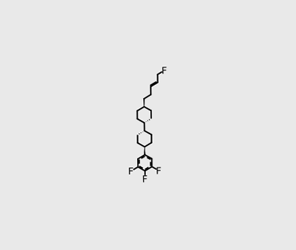 FCC=CCC[C@H]1CC[C@H]([C@H]2CC[C@H](c3cc(F)c(F)c(F)c3)CC2)CC1